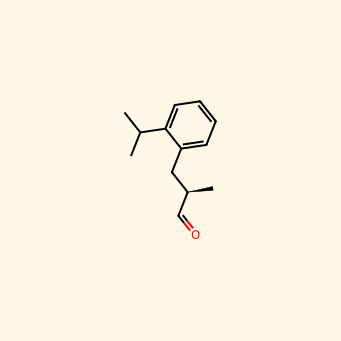 CC(C)c1ccccc1C[C@@H](C)C=O